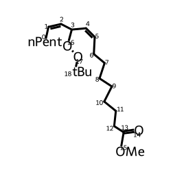 CCCCC/C=C\C(/C=C\CCCCCCCC(=O)OC)OOC(C)(C)C